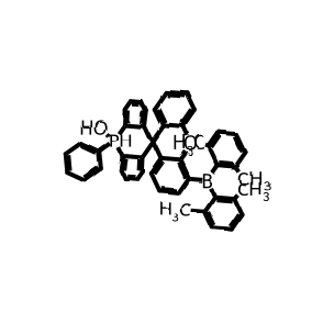 Cc1cccc(C)c1B(c1cccc2c1Oc1ccccc1C21c2ccccc2[PH](O)(c2ccccc2)c2ccccc21)c1c(C)cccc1C